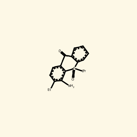 CCc1ccc2c(c1N)P(=O)(C(C)C)c1ccccc1C2=O